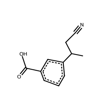 CC(CC#N)c1cccc(C(=O)O)c1